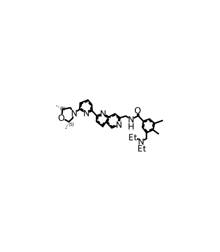 CCN(CC)Cc1cc(C(=O)NCc2cc3nc(-c4cccc(N5C[C@@H](C)O[C@@H](C)C5)n4)ccc3cn2)cc(C)c1C